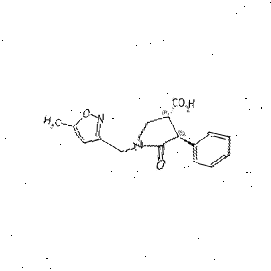 Cc1cc(CN2C[C@H](C(=O)O)[C@@H](c3ccccc3)C2=O)no1